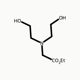 CCOC(=O)CN(CCO)CCO